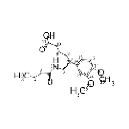 CCCC(=O)NC[C@@H](CCCC(=O)O)c1ccc(OC)c(OC)c1